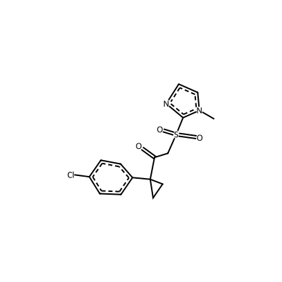 Cn1ccnc1S(=O)(=O)CC(=O)C1(c2ccc(Cl)cc2)CC1